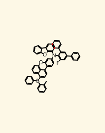 Cc1ccccc1B(c1ccccc1)c1ccc2c3c(cccc13)Oc1cc(N(c3c(F)cc(-c4ccccc4)cc3-c3ccccc3)c3cccc4c3oc3ccccc34)ccc1-2